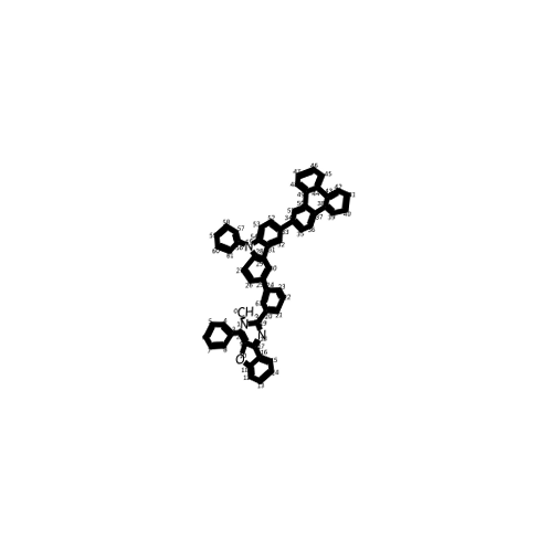 CN1C(c2ccccc2)=c2oc3ccccc3c2=NC1c1cccc(-c2ccc3c(c2)c2cc(-c4ccc5c6ccccc6c6ccccc6c5c4)ccc2n3-c2ccccc2)c1